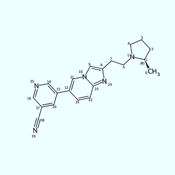 C[C@@H]1CCCN1CCc1cn2cc(-c3cncc(C#N)c3)ccc2n1